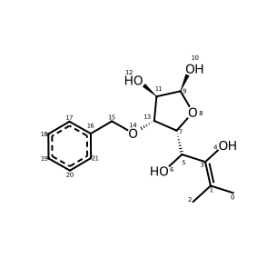 CC(C)=C(O)C(O)[C@H]1O[C@H](O)[C@H](O)[C@H]1OCc1ccccc1